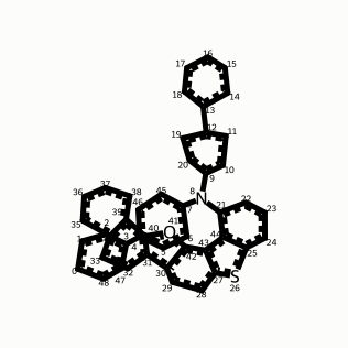 c1ccc(-c2ccc(N(c3ccc(-c4ccccc4)cc3)c3cccc4sc5ccc6c7ccc8ccccc8c7oc6c5c34)cc2)cc1